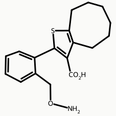 NOCc1ccccc1-c1sc2c(c1C(=O)O)CCCCCC2